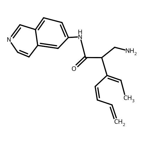 C=C/C=C\C(=C/C)C(CN)C(=O)Nc1ccc2cnccc2c1